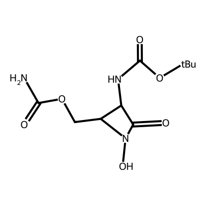 CC(C)(C)OC(=O)NC1C(=O)N(O)C1COC(N)=O